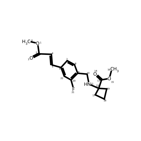 COC(=O)/C=C/c1ccc(CNC2(C(=O)OC)CCC2)c(F)c1